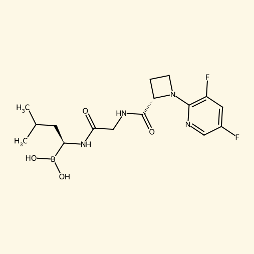 CC(C)C[C@@H](NC(=O)CNC(=O)[C@@H]1CCN1c1ncc(F)cc1F)B(O)O